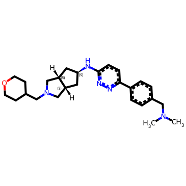 CN(C)Cc1ccc(-c2ccc(N[C@H]3C[C@@H]4CN(CC5CCOCC5)C[C@@H]4C3)nn2)cc1